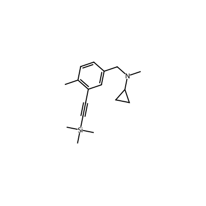 Cc1ccc(CN(C)C2CC2)cc1C#C[Si](C)(C)C